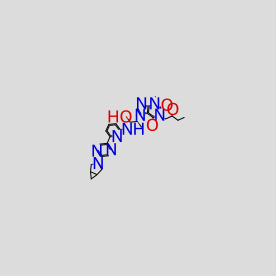 CCC(=O)Cn1c(=O)c2c(ncn2[C@@H](C)C(O)Nc2cccc(-c3cnc(N4CC5CC5C4)cn3)n2)n(C)c1=O